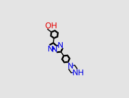 OCc1cccc(-c2cnn3cc(-c4ccc(N5CCNCC5)cc4)cnc23)c1